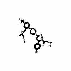 CNCC(=O)NC(CC(=O)N1CCN(c2ccc(C(F)(F)F)cc2CNC(C)COC)CC1)c1ccc(Br)cc1